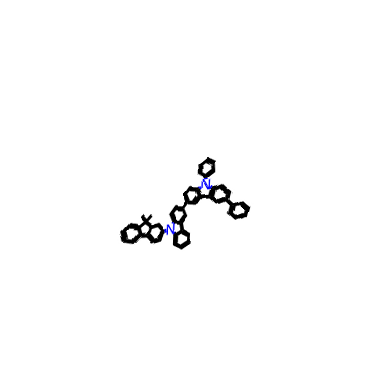 CC1(C)c2ccccc2C2=CC=C(n3c4ccccc4c4cc(-c5ccc6c(c5)c5cc(-c7ccccc7)ccc5n6-c5ccccc5)ccc43)CC21